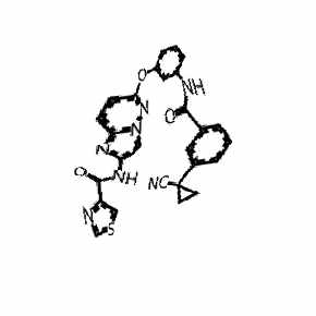 N#CC1(c2cccc(C(=O)Nc3cccc(Oc4ccc5nc(NC(=O)c6cscn6)cn5n4)c3)c2)CC1